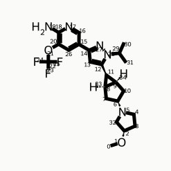 CO[C@H]1CCN([C@@H]2C[C@@H]3[C@H](C2)[C@@H]3c2cc(-c3cnc(N)c(OC(F)(F)F)c3)nn2C(C)C)C1